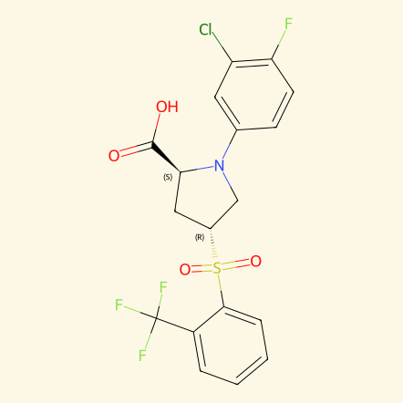 O=C(O)[C@@H]1C[C@@H](S(=O)(=O)c2ccccc2C(F)(F)F)CN1c1ccc(F)c(Cl)c1